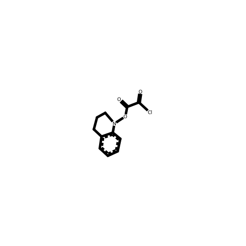 O=C(Cl)C(=O)ON1CCCc2ccccc21